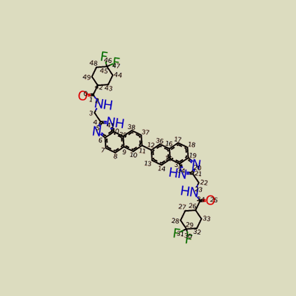 O=C(NCc1nc2ccc3cc(-c4ccc5c(ccc6nc(CNC(=O)C7CCC(F)(F)CC7)[nH]c65)c4)ccc3c2[nH]1)C1CCC(F)(F)CC1